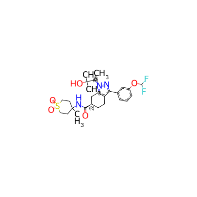 C[C@@H](n1nc(-c2cccc(OC(F)F)c2)c2c1C[C@H](C(=O)NC1(C)CCS(=O)(=O)CC1)CC2)C(C)(C)O